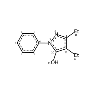 CCc1nn(-c2ccccc2)c(O)c1CC